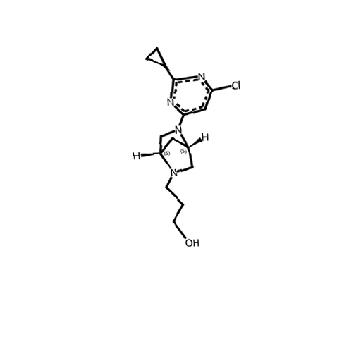 OCCCN1C[C@@H]2C[C@H]1CN2c1cc(Cl)nc(C2CC2)n1